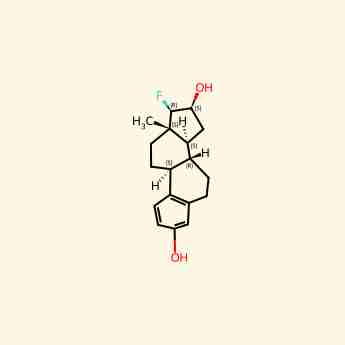 C[C@]12CC[C@@H]3c4ccc(O)cc4CC[C@H]3[C@@H]1C[C@H](O)[C@@H]2F